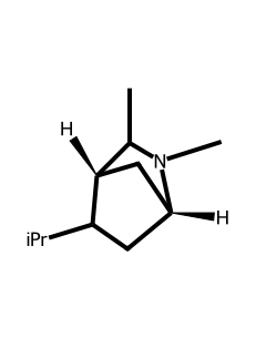 CC(C)C1C[C@@H]2C[C@H]1C(C)N2C